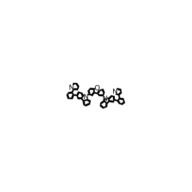 c1ccc(-c2ccccc2-c2ccc3c(c2)c2ccccc2n3-c2ccc3oc4ccc(-n5c6ccccc6c6cc(-c7ccccc7-c7cccnc7)ccc65)cc4c3c2)nc1